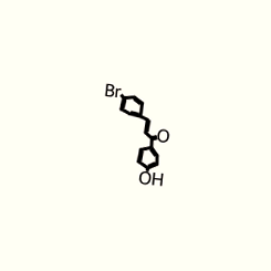 O=C(C=Cc1ccc(Br)cc1)c1ccc(O)cc1